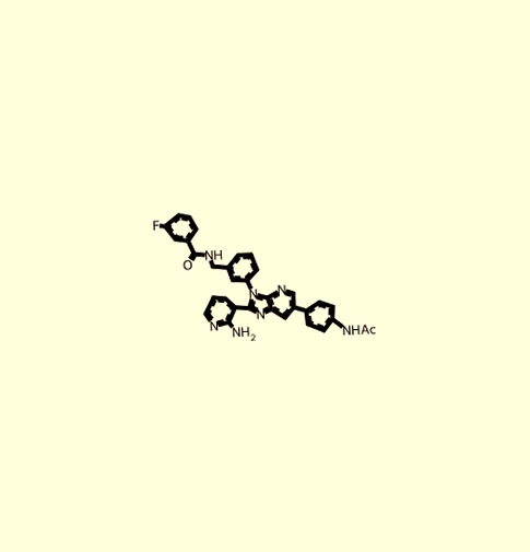 CC(=O)Nc1ccc(-c2cnc3c(c2)nc(-c2cccnc2N)n3-c2cccc(CNC(=O)c3cccc(F)c3)c2)cc1